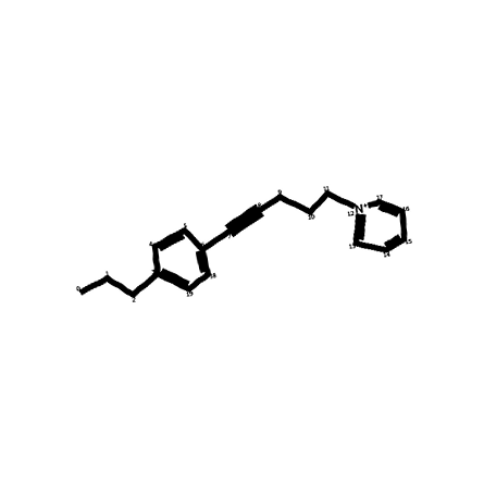 CCCc1ccc(C#CCCC[n+]2ccccc2)cc1